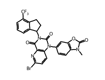 Cn1c(=O)oc2cc(-n3c(=O)n(C4CCc5c4cccc5C(F)(F)F)c(=O)c4nc(Br)ccc43)ccc21